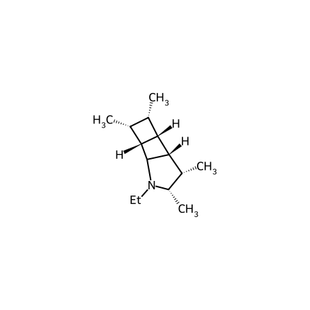 CCN1C2[C@@H]3[C@H](C)[C@H](C)[C@@H]3[C@@H]2[C@H](C)[C@@H]1C